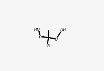 CC(C)C(C)(OO)OO